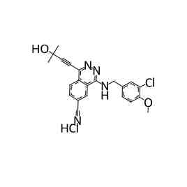 COc1ccc(CNc2nnc(C#CC(C)(C)O)c3ccc(C#N)cc23)cc1Cl.Cl